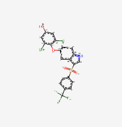 O=S(=O)(c1ccc(C(F)(F)F)cc1)c1c[nH]c2ccc(Oc3c(Cl)cc(O)cc3Cl)cc12